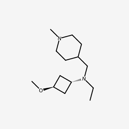 CCN(CC1CCN(C)CC1)[C@H]1C[C@H](OC)C1